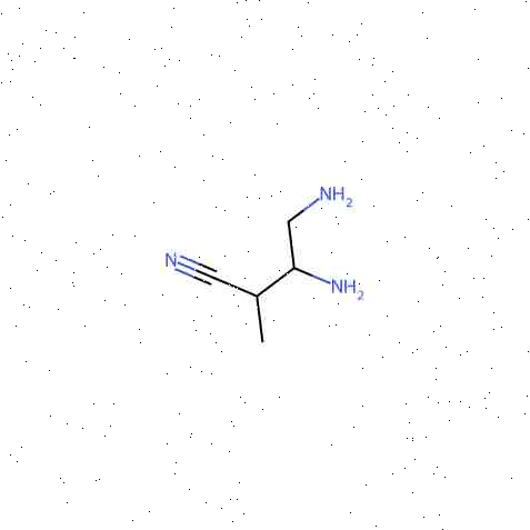 CC(C#N)C(N)CN